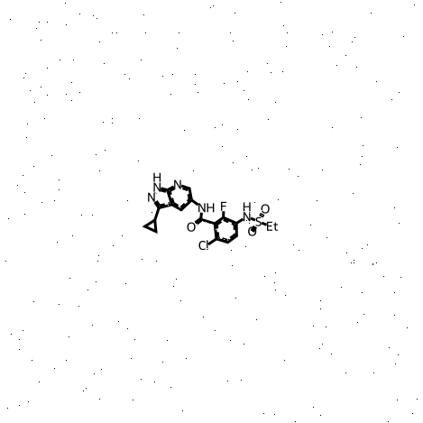 CCS(=O)(=O)Nc1ccc(Cl)c(C(=O)Nc2cnc3[nH]nc(C4CC4)c3c2)c1F